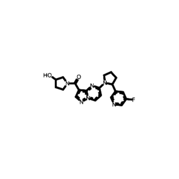 O=C(c1cnn2ccc(N3CCCC3c3cncc(F)c3)nc12)N1CCC(O)C1